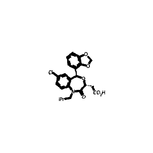 CC(C)CN1C(=O)[C@@H](CC(=O)O)O[C@H](c2cccc3c2OCO3)c2cc(Cl)ccc21